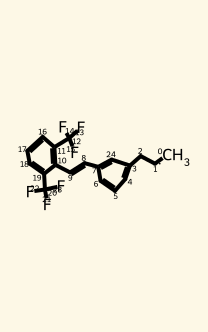 C[CH]Cc1cccc(/C=C/c2c(C(F)(F)F)cccc2C(F)(F)F)c1